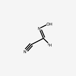 [3H]C(C#N)=NO